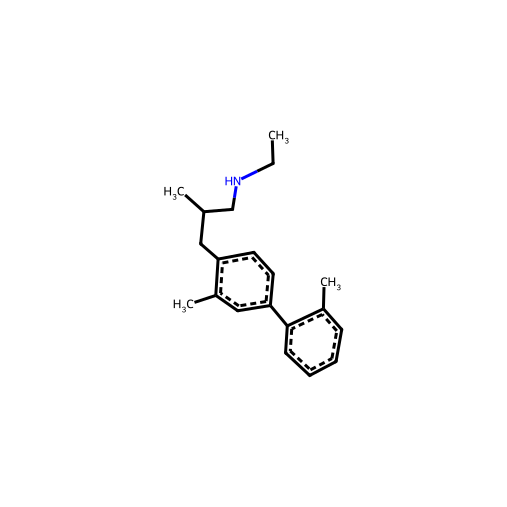 CCNCC(C)Cc1ccc(-c2ccccc2C)cc1C